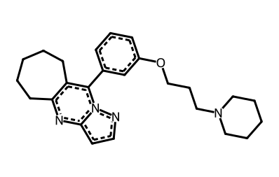 c1cc(OCCCN2CCCCC2)cc(-c2c3c(nc4ccnn24)CCCCC3)c1